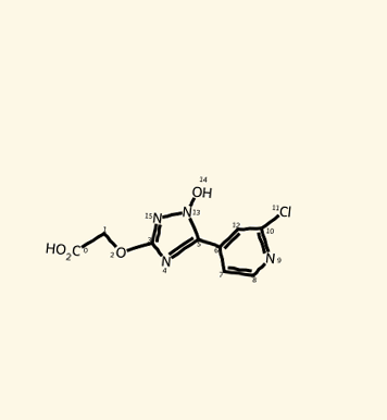 O=C(O)COc1nc(-c2ccnc(Cl)c2)n(O)n1